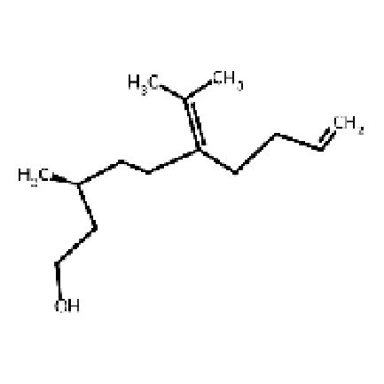 C=CCCC(CC[C@H](C)CCO)=C(C)C